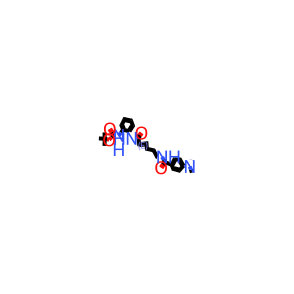 CN(C)c1ccc(C(=O)NCCC/C=C/C(=O)Nc2ccccc2NC(=O)OC(C)(C)C)cc1